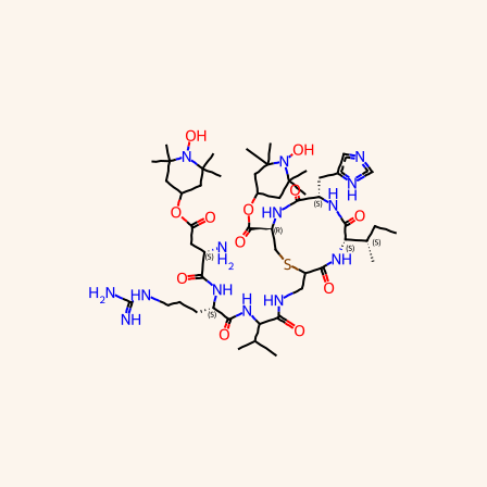 CC[C@H](C)[C@@H]1NC(=O)C(CNC(=O)C(NC(=O)[C@H](CCCNC(=N)N)NC(=O)[C@@H](N)CC(=O)OC2CC(C)(C)N(O)C(C)(C)C2)C(C)C)SC[C@@H](C(=O)OC2CC(C)(C)N(O)C(C)(C)C2)NC(=O)[C@H](Cc2cnc[nH]2)NC1=O